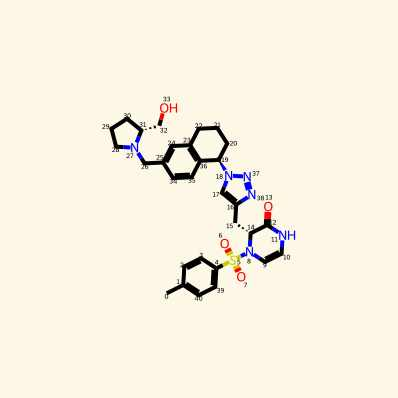 Cc1ccc(S(=O)(=O)N2C=CNC(=O)[C@H]2Cc2cn([C@@H]3CCCc4cc(CN5CCC[C@@H]5CO)ccc43)nn2)cc1